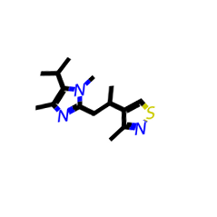 Cc1nscc1C(C)Cc1nc(C)c(C(C)C)n1C